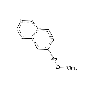 C[O][Zn][c]1ccc2ccccc2c1